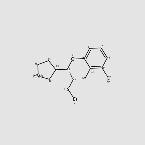 CCSC[C@@H](Oc1cccc(Cl)c1C)C1CCNC1